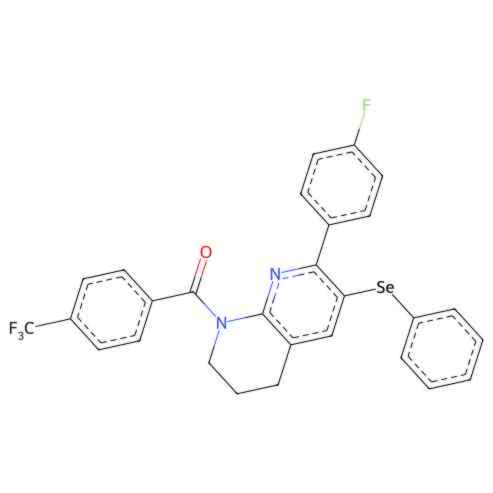 O=C(c1ccc(C(F)(F)F)cc1)N1CCCc2cc([Se]c3ccccc3)c(-c3ccc(F)cc3)nc21